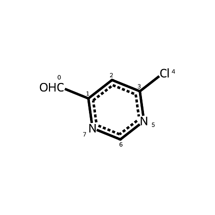 O=Cc1cc(Cl)ncn1